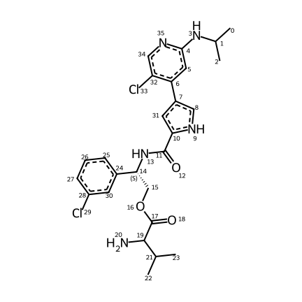 CC(C)Nc1cc(-c2c[nH]c(C(=O)N[C@H](COC(=O)C(N)C(C)C)c3cccc(Cl)c3)c2)c(Cl)cn1